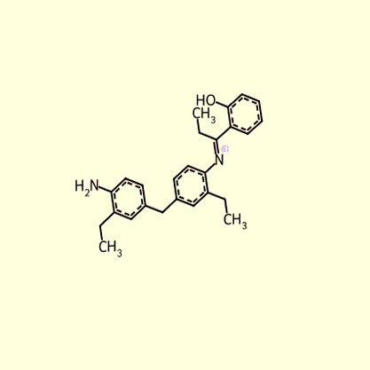 CC/C(=N\c1ccc(Cc2ccc(N)c(CC)c2)cc1CC)c1ccccc1O